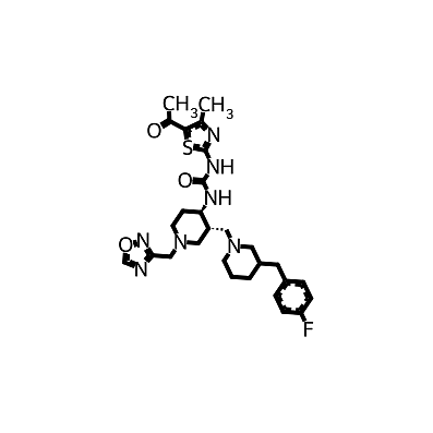 CC(=O)c1sc(NC(=O)N[C@@H]2CCN(Cc3ncon3)C[C@H]2CN2CCCC(Cc3ccc(F)cc3)C2)nc1C